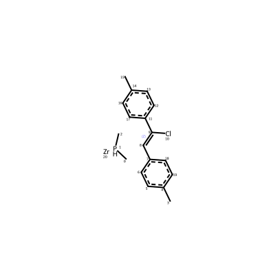 CPC.Cc1ccc(/C=C(\Cl)c2ccc(C)cc2)cc1.[Zr]